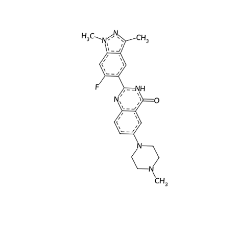 Cc1nn(C)c2cc(F)c(-c3nc4ccc(N5CCN(C)CC5)cc4c(=O)[nH]3)cc12